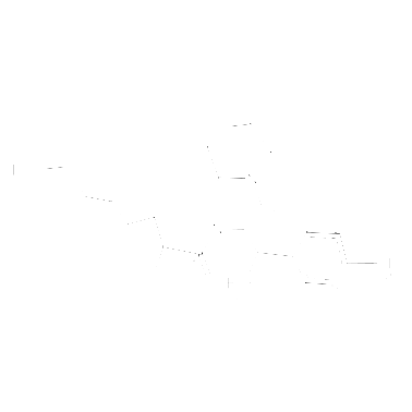 CCCCCCC(C)C(=O)NC(CN1CCOCC1)C(O)c1ccc(O)cc1